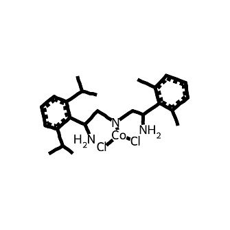 Cc1cccc(C)c1C(N)C[N](CC(N)c1c(C(C)C)cccc1C(C)C)[Co]([Cl])[Cl]